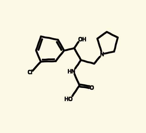 O=C(O)NC(CN1CCCC1)C(O)c1cccc(Cl)c1